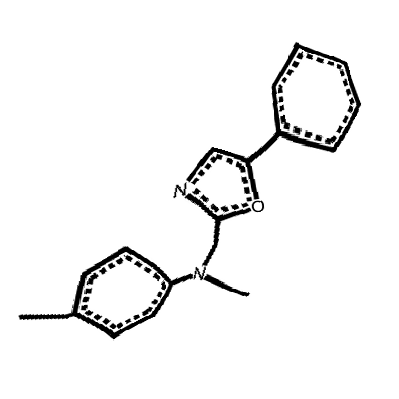 Cc1ccc(N(C)c2ncc(-c3ccccc3)o2)cc1